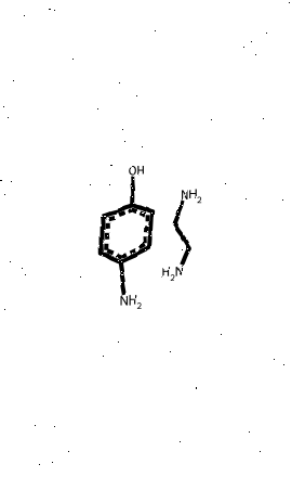 NCCN.Nc1ccc(O)cc1